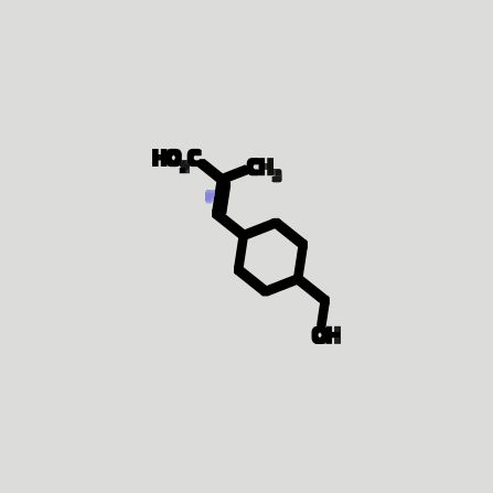 C/C(=C\C1CCC(CO)CC1)C(=O)O